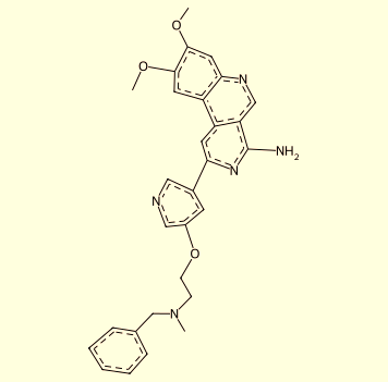 COc1cc2ncc3c(N)nc(-c4cncc(OCCN(C)Cc5ccccc5)c4)cc3c2cc1OC